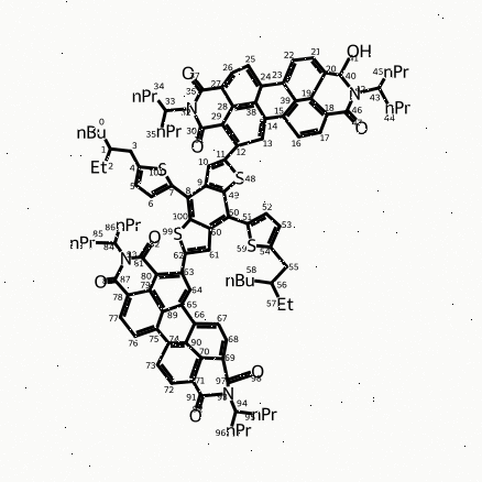 CCCCC(CC)Cc1ccc(-c2c3cc(-c4cc5c6ccc7c8c(ccc(c9ccc%10c(c4C(=O)N(C(CCC)CCC)C%10=O)c95)c86)C(O)N(C(CCC)CCC)C7=O)sc3c(-c3ccc(CC(CC)CCCC)s3)c3cc(-c4cc5c6ccc7c8c(ccc(c9ccc%10c(c4C(=O)N(C(CCC)CCC)C%10=O)c95)c86)C(=O)N(C(CCC)CCC)C7=O)sc23)s1